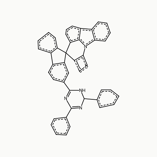 c1ccc(C2=NC(c3ccccc3)NC(c3ccc4c(c3)C3(c5ccccc5-4)c4ccccc4-n4c5ccccc5c5cccc3c54)=N2)cc1